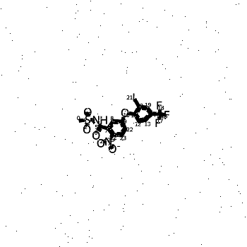 CS(=O)(=O)NC(=O)c1cc(Oc2ccc(C(F)(F)F)cc2I)ccc1[N+](=O)[O-]